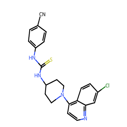 N#Cc1ccc(NC(=S)NC2CCN(c3ccnc4cc(Cl)ccc34)CC2)cc1